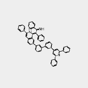 N=C(/C(=C1\NC(c2ccccc2)=Cc2ccc(-c3cccc(-c4cccc(-c5cc(-c6ccccc6)nc(-c6ccccc6)c5)c4)c3)cc21)c1ccccc1)c1ccccc1